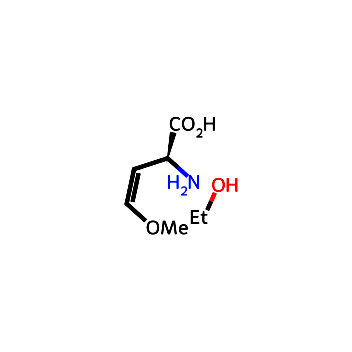 CO/C=C\[C@H](N)C(=O)O.[CH2]CO